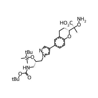 CC(C)(C)OC(=O)NC[C@@H](Cn1cc(-c2ccc3c(c2)CC[C@H]([C@](C)(ON)C(=O)O)O3)cn1)O[Si](C)(C)C(C)(C)C